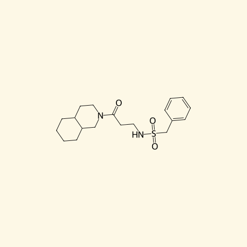 O=C(CCNS(=O)(=O)Cc1ccccc1)N1CCC2CCCCC2C1